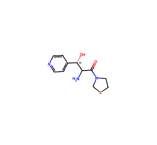 NC(C(=O)N1CCSC1)[C@@H](O)c1ccncc1